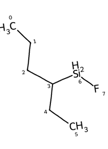 CCCC(CC)[SiH2]F